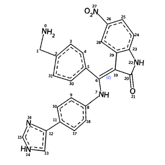 NCc1ccc(/C(Nc2ccc(-c3c[nH]cn3)cc2)=C2/C(=O)Nc3ccc([N+](=O)[O-])cc32)cc1